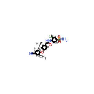 Cc1cc(C#N)ccc1Oc1ccc(CC(=O)Nc2ccc(S(N)(=O)=O)cc2Cl)c(C)c1C